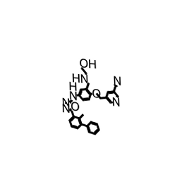 Cc1c(-c2ccccc2)cccc1-c1nnc(Nc2ccc(OCc3cncc(C#N)c3)c(CNCCO)c2)o1